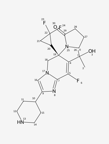 CC(C)(O)C1=C(F)c2nc(C3CCNCC3)cn2C[C@]1(C1CC1(F)F)N1CCCC1=O